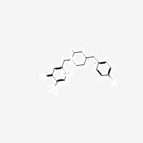 O=c1cc(CN2CCC(Cc3ccc(F)cc3)CC2)[nH]cc1O